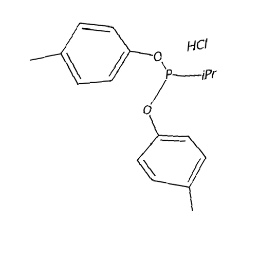 Cc1ccc(OP(Oc2ccc(C)cc2)C(C)C)cc1.Cl